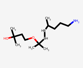 CC(BBC(C)(C)OCCC(C)(C)O)CCCN